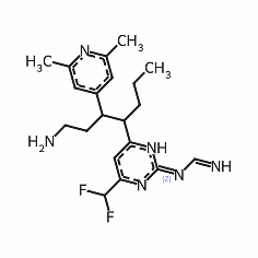 CCCC(c1cc(C(F)F)n/c(=N/C=N)[nH]1)C(CCN)c1cc(C)nc(C)c1